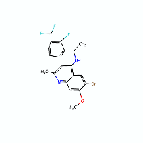 COc1cc2nc(C)cc(NC(C)c3cccc(C(F)F)c3F)c2cc1Br